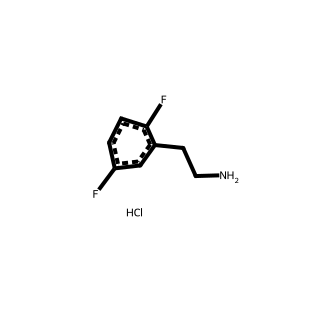 Cl.NCCc1cc(F)ccc1F